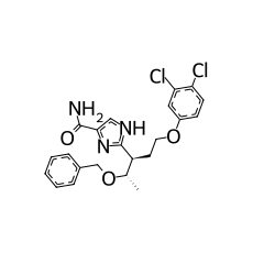 C[C@H](OCc1ccccc1)[C@H](CCOc1ccc(Cl)c(Cl)c1)c1nc(C(N)=O)c[nH]1